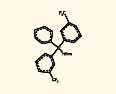 CCCCCC[B-](c1ccccc1)(c1cccc(C(F)(F)F)c1)c1cccc(C(F)(F)F)c1